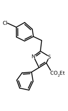 CCOC(=O)c1sc(Cc2ccc(Cl)cc2)nc1-c1ccccc1